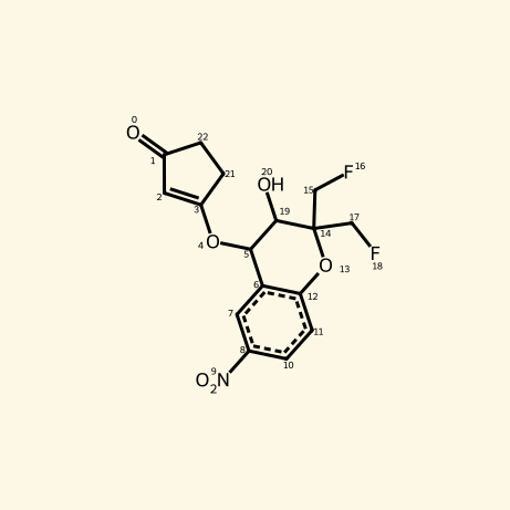 O=C1C=C(OC2c3cc([N+](=O)[O-])ccc3OC(CF)(CF)C2O)CC1